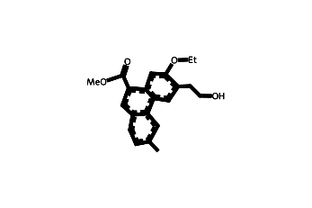 CCOc1cc2c(C(=O)OC)cc3ccc(C)cc3c2cc1CCO